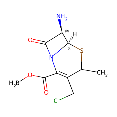 BOC(=O)C1=C(CCl)C(C)S[C@@H]2[C@H](N)C(=O)N12